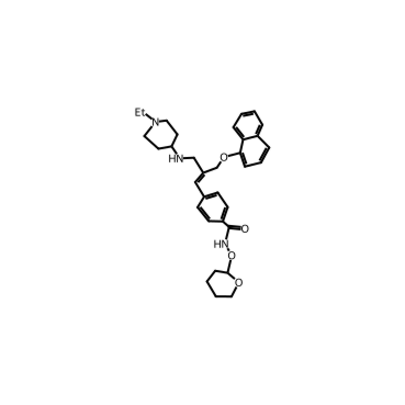 CCN1CCC(NC/C(=C/c2ccc(C(=O)NOC3CCCCO3)cc2)COc2cccc3ccccc23)CC1